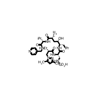 CC[C@@H](Cn1nc(C)cc1C)C(=O)N[C@@H](CNC(=O)O)C(=O)N[C@@H](CC(C)C)[C@@H](O)C[C@@H](C)C(=O)N[C@H](C(=O)NCc1ccncc1)C(C)C